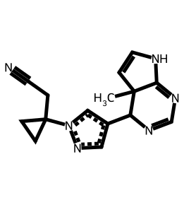 CC12C=CNC1=NC=NC2c1cnn(C2(CC#N)CC2)c1